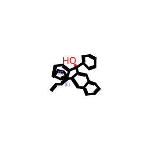 C=C/C=C(\C=C/C)c1cc2ccccc2cc1C(O)(c1ccccc1)c1ccccc1